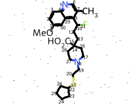 COc1ccc2ncc(C)c(C(F)CCC3(C(=O)O)CCN(CCSC4CCCC4)CC3)c2c1